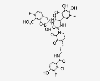 O=C(NCCCN1CCN(C(=O)NC(C(=O)N[C@H]2Cc3ccc(F)c(C(=O)O)c3OB2O)c2cc(F)c(O)c(O)c2Cl)C(=O)C1=O)c1ccc(O)c(F)c1Cl